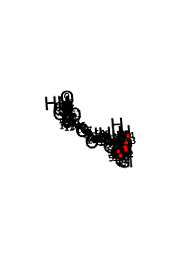 O=C1CCC(N2C(=O)c3cccc(CCCOCCNC(=O)c4ccc(NC(=O)[C@@H]5NC6(CCCCC6)[C@@]6(C(=O)Nc7cc(Cl)ccc76)[C@H]5c5cccc(Cl)c5F)cc4)c3C2=O)C(=O)N1